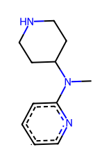 CN(c1cc[c]cn1)C1CCNCC1